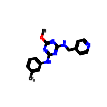 CCOc1nc(NCc2ccncc2)nc(Nc2cccc(C(F)(F)F)c2)n1